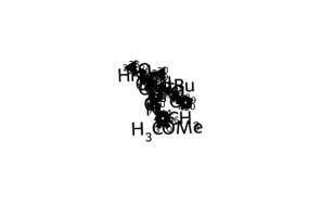 COc1c(C)cc(C2=NO[C@]3(C2)C[C@@H](C(=O)NC(CC2CC2)C(=O)C(=O)NC2CC2)N(C(=O)[C@@H](NC(=O)OC2CCCC2)C(C)(C)C)C3)cc1C